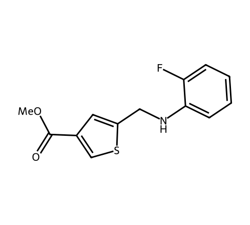 COC(=O)c1csc(CNc2ccccc2F)c1